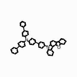 c1ccc(-c2ccc(N(c3ccc(-c4ccccc4)cc3)c3ccc(-c4ccc(-n5c6ccccc6c6c7oc8ccccc8c7ccc65)cc4)cc3)cc2)cc1